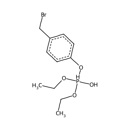 CCO[PH](O)(OCC)Oc1ccc(CBr)cc1